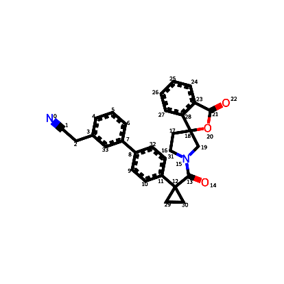 N#CCc1cccc(-c2ccc(C3(C(=O)N4CCC5(C4)OC(=O)c4ccccc45)CC3)cc2)c1